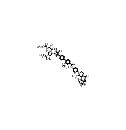 [2H]C([2H])([2H])C1(C([2H])([2H])[2H])CC1C(=O)N1CCN(c2ccc(NC(=O)c3ccc(-c4ccc(-c5nc([C@@H]6C[C@H](N(C)C)CN6C(=O)[C@@H](NC(=O)OC)C(C)C)[nH]c5Cl)cc4)c(OC(F)(F)F)c3)cn2)[C@H](C)C1